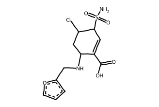 NS(=O)(=O)C1C=C(C(=O)O)C(NCc2ccco2)CC1Cl